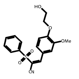 COc1cc(C=C(C#N)S(=O)(=O)c2ccccc2)ccc1OCCO